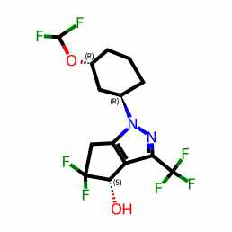 O[C@H]1c2c(C(F)(F)F)nn([C@@H]3CCC[C@@H](OC(F)F)C3)c2CC1(F)F